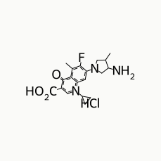 Cc1c(F)c(N2CC(C)C(N)C2)cc2c1c(=O)c(C(=O)O)cn2C1CC1.Cl